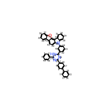 c1ccc(C2=NC(c3ccc(-c4ccccc4)cc3)=NC(c3cccc(-n4c5ccccc5c5c6oc7ccccc7c6ccc54)c3)N2)cc1